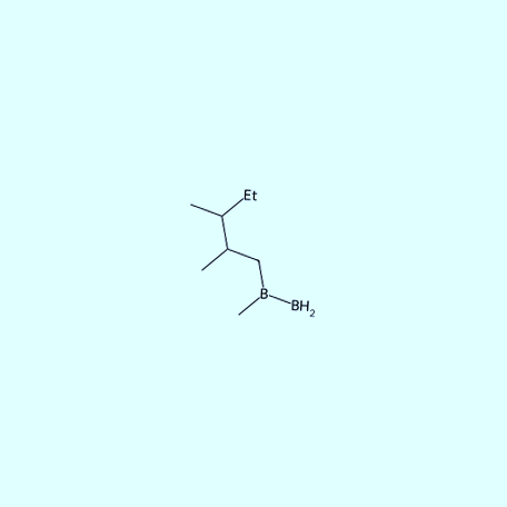 BB(C)CC(C)C(C)CC